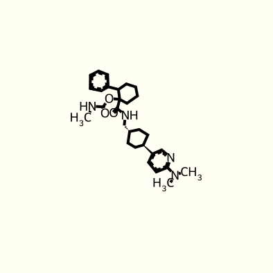 CNC(=O)OC1(C(=O)NC[C@H]2CC[C@H](c3ccc(N(C)C)nc3)CC2)CCCCC1c1ccccc1